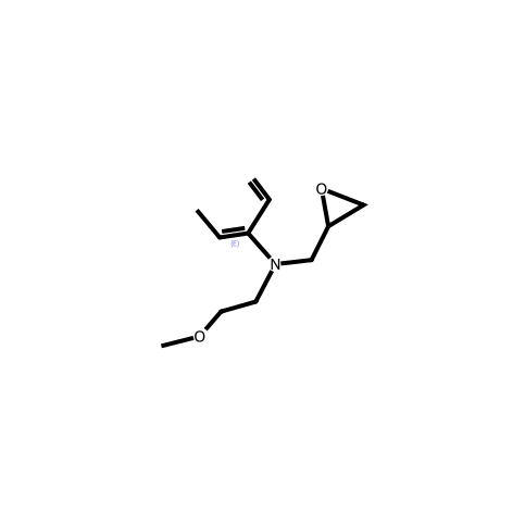 C=C/C(=C\C)N(CCOC)CC1CO1